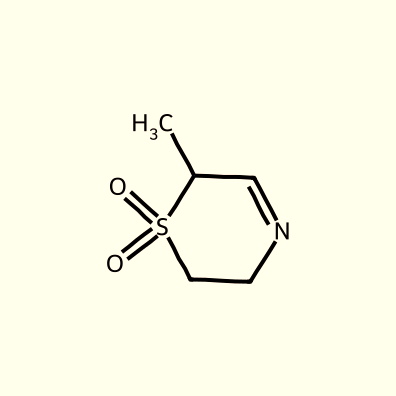 CC1C=NCCS1(=O)=O